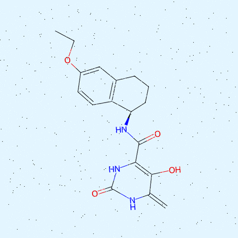 C=C1NC(=O)NC(C(=O)N[C@@H]2CCCc3cc(OCC)ccc32)=C1O